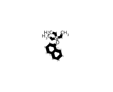 CC[Si](CC)(CC)Oc1cccc2ccccc12